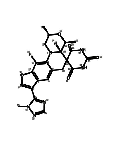 C[C@@H]1CN2c3c(cc4c(-c5ncnn5C)noc4c3F)CC3(C(=O)NC(=O)NC3=O)[C@H]2[C@H](C)O1